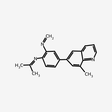 C=Nc1cc(-c2cc(C)c3ncccc3c2)ccc1N=C(C)C